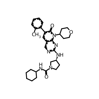 Cc1ccccc1-c1cc2cnc(N[C@H]3CCN(C(=O)NC4CCCCC4)C3)nc2n(C2CCOCC2)c1=O